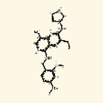 CCc1nc2c(NCc3ccc(OC)cc3OC)ncc(Br)c2nc1N[C@H]1CCOC1